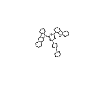 c1ccc(-c2ccc(-c3nc(-c4cccc5c4oc4ccccc45)nc(-n4c5ccccc5c5cc6ccccc6cc54)n3)cc2)cc1